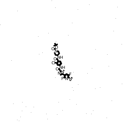 CN(C)c1nc(F)c(-c2cnc(C(=O)Nc3ccc(C(=O)NC4CCN(C(=O)OC(C)(C)C)CC4)c(Cl)c3)n2C)cc1F